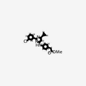 COC(=O)Cc1ccc(Nc2cc(C3CC3)nc(-c3cccc(Cl)c3)n2)cc1